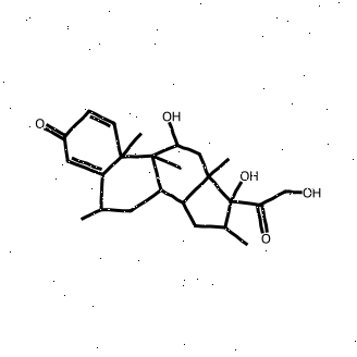 CC1CC2C3CC(C)C(O)(C(=O)CO)C3(C)CC(O)C2(C)C2(C)C=CC(=O)C=C12